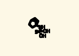 OP(O)(=S)NC12CCC(CC1)C2